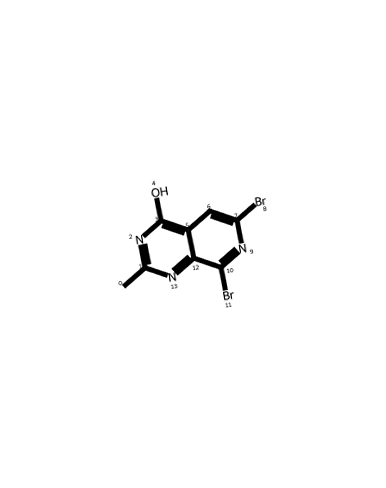 Cc1nc(O)c2cc(Br)nc(Br)c2n1